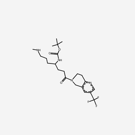 CNCCCC(CCC(=O)N1CCc2ncc(C(F)(F)F)cc2C1)NC(=O)OC(C)(C)C